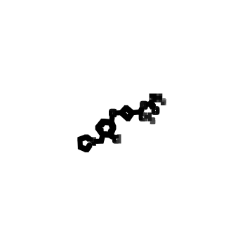 CC(OC(N)=O)C1CC(Oc2ccc(CN3CCCC3)c(Cl)c2)C1